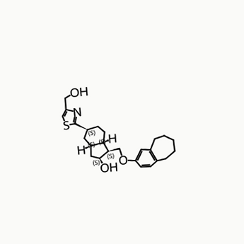 OCc1csc([C@H]2CC[C@H]3[C@@H](C2)C[C@H](O)[C@@H]3COc2ccc3c(c2)CCCCC3)n1